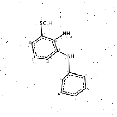 Nc1c(Nc2ccccc2)cccc1S(=O)(=O)O